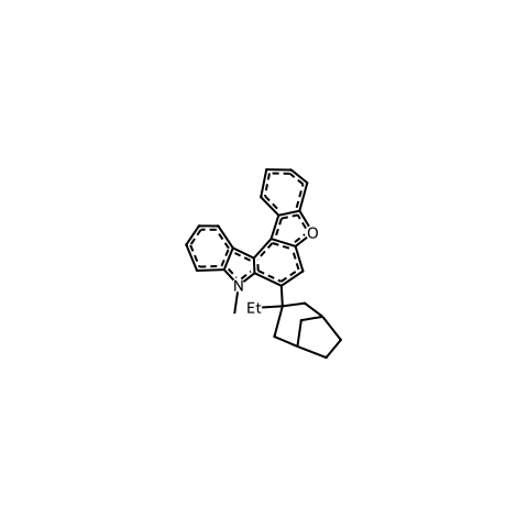 CCC1(c2cc3oc4ccccc4c3c3c4ccccc4n(C)c23)CC2CCC(C2)C1